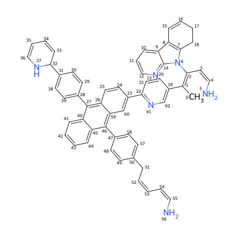 C/C(=C(\C=C/N)n1c2c(c3cccnc31)C=CCC2)c1ccc(-c2ccc3c(-c4ccc(C5C=CC=CN5)cc4)c4ccccc4c(-c4ccc(C/C=C\C=C/N)cc4)c3c2)nc1